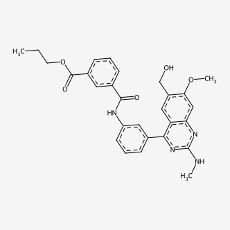 CCCOC(=O)c1cccc(C(=O)Nc2cccc(-c3nc(NC)nc4cc(OC)c(CO)cc34)c2)c1